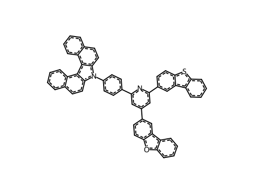 c1ccc2c(c1)ccc1c2c2c3ccccc3ccc2n1-c1ccc(-c2cc(-c3ccc4oc5ccccc5c4c3)cc(-c3ccc4sc5ccccc5c4c3)n2)cc1